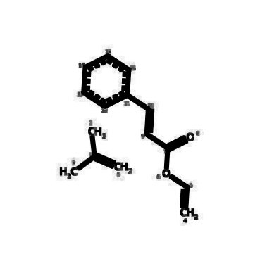 C=C(C)C.C=COC(=O)/C=C/c1ccccc1